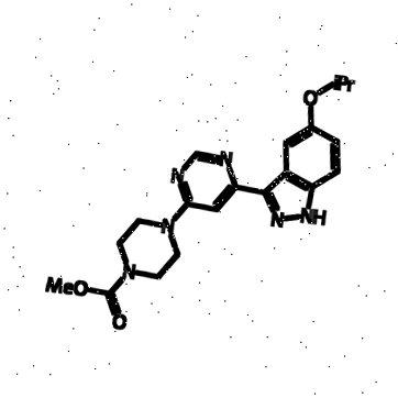 COC(=O)N1CCN(c2cc(-c3n[nH]c4ccc(OC(C)C)cc34)ncn2)CC1